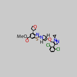 COC(=O)c1cc([C@H]2CCOC2)c2nc(N3C[C@@H]4C[C@H]3C[C@H]4OCc3c(-c4c(Cl)cccc4Cl)cnn3C3CC3)sc2c1